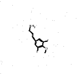 COc1c(F)cc(CCCN)cc1F